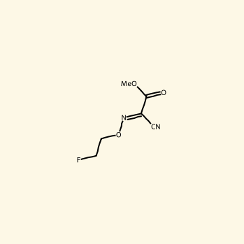 COC(=O)C(C#N)=NOCCF